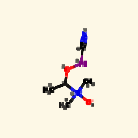 CC(OPC#N)[N+](C)(C)[O-]